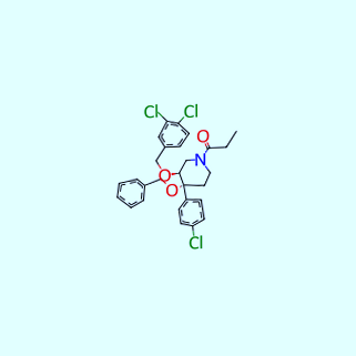 CCC(=O)N1CC[C@@](OCc2ccccc2)(c2ccc(Cl)cc2)[C@@H](OCc2ccc(Cl)c(Cl)c2)C1